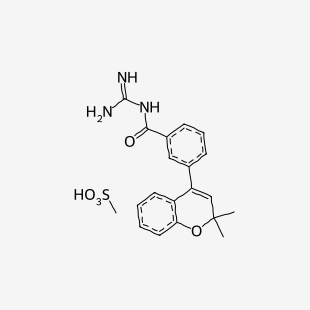 CC1(C)C=C(c2cccc(C(=O)NC(=N)N)c2)c2ccccc2O1.CS(=O)(=O)O